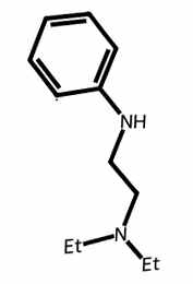 CCN(CC)CCNc1[c]cccc1